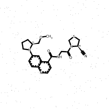 COC[C@@H]1CCCN1c1ccc2nccc(C(=O)NCC(=O)N3CSC[C@H]3C#N)c2c1